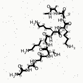 CNC(=O)[C@@H](C)NC(=O)[C@H](C)NC(=O)[C@@H](CCCCN)NC(=O)[C@H](CCCCN)NC(=O)[C@@H](CCCCN)NC(=O)[C@H](CO)NC(=O)CNC(=O)CNC(=O)CN